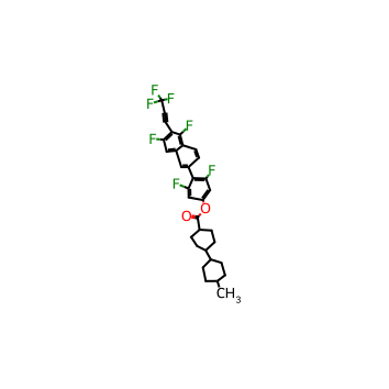 CC1CCC(C2CCC(C(=O)Oc3cc(F)c(-c4ccc5c(F)c(C#CC(F)(F)F)c(F)cc5c4)c(F)c3)CC2)CC1